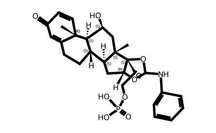 C[C@]12C=CC(=O)C=C1CC[C@@H]1[C@@H]2[C@@H](O)C[C@@]2(C)[C@H]1C[C@H]1OC(Nc3ccccc3)O[C@]12C(=O)COP(=O)(O)O